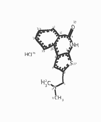 CN(C)Cc1cc2c([nH]c(=O)c3ccccc32)s1.Cl